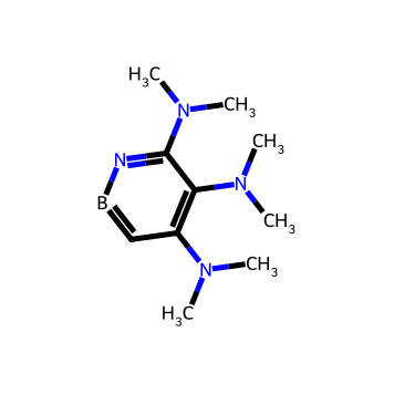 CN(C)c1cbnc(N(C)C)c1N(C)C